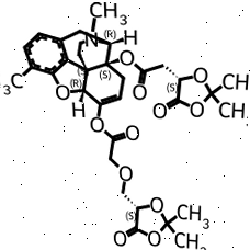 Cc1ccc2c3c1O[C@H]1C(OC(=O)COC[C@@H]4OC(C)(C)OC4=O)=CC[C@@]4(OC(=O)C[C@@H]5OC(C)(C)OC5=O)[C@@H](C2)N(C)CC[C@]314